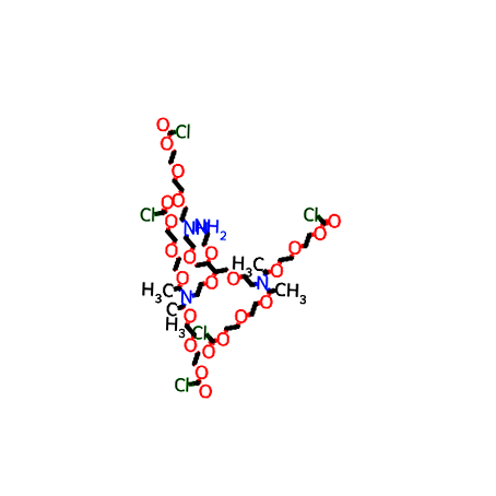 CC(OCCOCCOC(=O)Cl)N(CCOCC(OCCN(C(C)OCCOCCOC(=O)Cl)C(C)OCCOCCOC(=O)Cl)C(COCCNCCOCCOCCOC(=O)Cl)OCCN)C(C)OCCOCCOC(=O)Cl